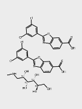 CNC[C@H](O)[C@@H](O)[C@H](O)[C@H](O)CO.O=C(O)c1ccc2nc(-c3cc(Cl)cc(Cl)c3)oc2c1.O=C(O)c1ccc2nc(-c3cc(Cl)cc(Cl)c3)oc2c1